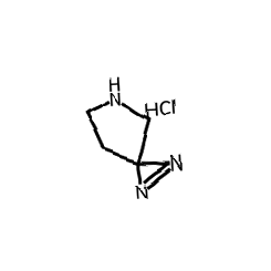 C1CC2(CN1)N=N2.Cl